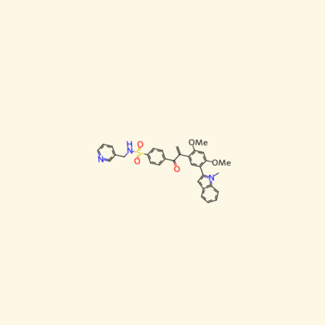 C=C(C(=O)c1ccc(S(=O)(=O)NCc2cccnc2)cc1)c1cc(-c2cc3ccccc3n2C)c(OC)cc1OC